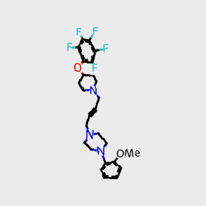 COc1ccccc1N1CCN(CC#CCN2CCC(Oc3c(F)c(F)c(F)c(F)c3F)CC2)CC1